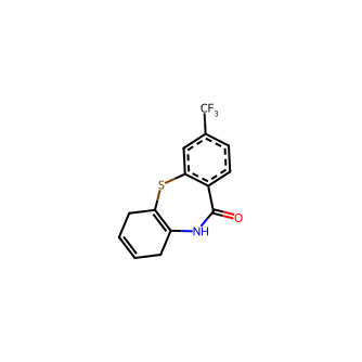 O=C1NC2=C(CC=CC2)Sc2cc(C(F)(F)F)ccc21